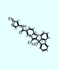 CCc1c(C(O)(c2ccccc2)c2ccccc2)nc2ccc(C(=O)Nc3cnn(CC)c3)cn12